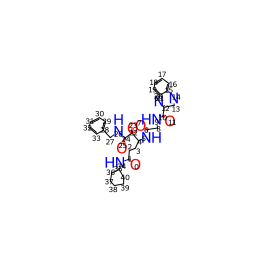 O=C(CCC(NC(=O)CNC(=O)c1cnc2ccccc2n1)C(=O)C(=O)NCc1ccccc1)NC1CCCCC1